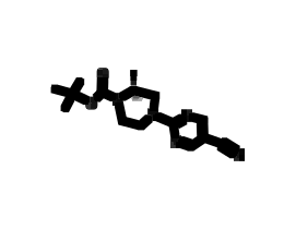 C[C@@H]1CN(c2ncc(C#N)cn2)CCN1C(=O)OC(C)(C)C